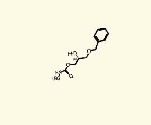 CC(C)(C)NC(=O)OC[C@H](O)COCc1ccccc1